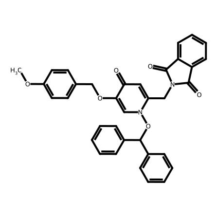 COc1ccc(COc2cn(OC(c3ccccc3)c3ccccc3)c(CN3C(=O)c4ccccc4C3=O)cc2=O)cc1